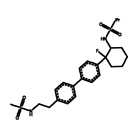 CC(C)S(=O)(=O)NC1CCCCC1(F)c1ccc(-c2ccc(CCNS(C)(=O)=O)cc2)cc1